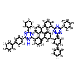 c1ccc(C2=NC(c3ccc(-c4ccccc4)cc3)NC(c3cccc(-c4ccccc4-c4ccccc4-c4cccc(-c5nc(-c6ccccc6)nc(-c6ccc(-c7ccccc7)cc6)n5)c4)c3)=N2)cc1